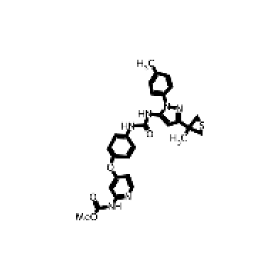 COC(=O)Nc1cc(Oc2ccc(NC(=O)Nc3cc(C4(C)CSC4)nn3-c3ccc(C)cc3)cc2)ccn1